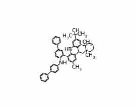 Cc1cc(-c2cc(-c3ccccc3)ccc2Nc2ccc(-c3ccccc3)cc2)c2c(c1)C1CC3(C)CCCCC3(C)c3cc(C(C)(C)C)cc(c31)B2